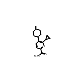 CNC(=O)c1ccc(N2CCNCC2)c(C2CC2)n1